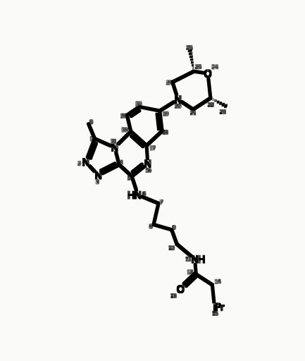 Cc1nnc2c(NCCCCNC(=O)CC(C)C)nc3cc(N4C[C@@H](C)O[C@@H](C)C4)ccc3n12